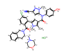 Cc1c(C(=O)N(c2ccc(O)cc2)c2cc(C#N)nn2C)cc(-c2cc(Cl)ccc2C(=O)N2Cc3ccccc3C[C@H]2CN2CCOCC2)n1C.Cl